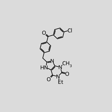 CCn1c(=O)c2[nH]c(Cc3ccc(C(=O)c4ccc(Cl)cc4)cc3)nc2n(C)c1=O